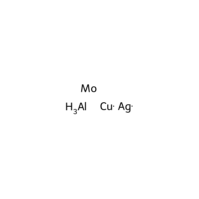 [Ag].[AlH3].[Cu].[Mo]